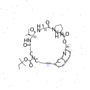 CCC(C)(C)OC(=O)N1CC/C=C/c2ccc3ccc(nc3c2)[C@@H](C)OC(=O)[C@@H]2CCCN(N2)C(=O)[C@H](C)NC(=O)[C@H](C(C)C)NC(=O)CC1